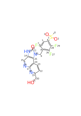 CS(=O)(=O)c1cc(F)c(Cn2c(=O)[nH]c3cnc4nc(CO)ccc4c32)c(F)c1F